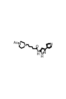 CC(=O)N1CCCN(CCCCC(=O)Nc2cc(-c3ccncc3)n[nH]2)CC1